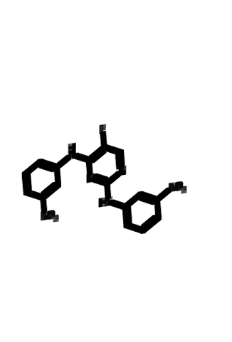 O=[N+]([O-])c1cccc(Nc2ncc(F)c(Nc3cccc([N+](=O)[O-])c3)n2)c1